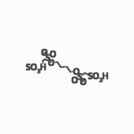 O=S(=O)(O)CS(=O)(=O)OCCCCOS(=O)(=O)CS(=O)(=O)O